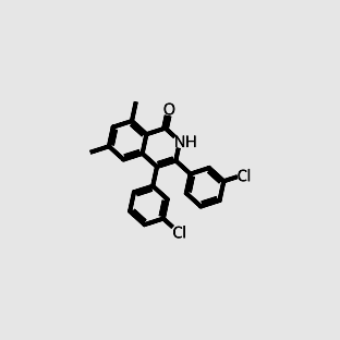 Cc1cc(C)c2c(=O)[nH]c(-c3cccc(Cl)c3)c(-c3cccc(Cl)c3)c2c1